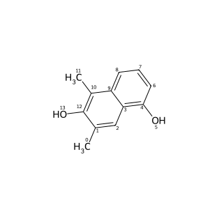 Cc1cc2c(O)cccc2c(C)c1O